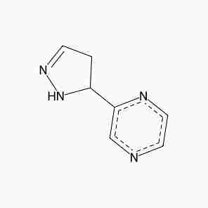 C1=NNC(c2cnccn2)C1